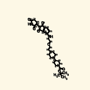 CC(C)(C)OC(=O)N1CCC(N2CCN(CCOCCNc3ccc4c(c3)C(=O)N(C3CCC(=O)NC3=O)C4=O)CC2)CC1